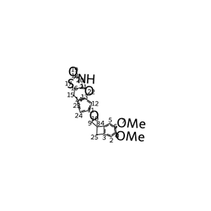 COc1cc2c(cc1OC)C(COc1ccc(CC3SC(=O)NC3=O)cc1)C2